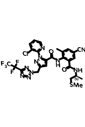 CSC[C@H](C)NC(=O)c1cc(C#N)cc(C)c1NC(=O)c1cc(Cn2nnc(C(F)(F)C(F)(F)F)n2)nn1-c1ncccc1Cl